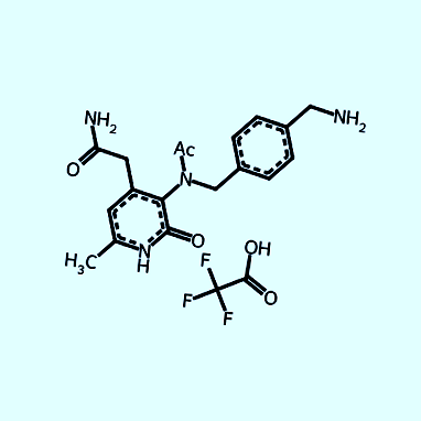 CC(=O)N(Cc1ccc(CN)cc1)c1c(CC(N)=O)cc(C)[nH]c1=O.O=C(O)C(F)(F)F